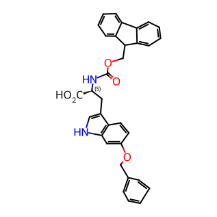 O=C(N[C@@H](Cc1c[nH]c2cc(OCc3ccccc3)ccc12)C(=O)O)OCC1c2ccccc2-c2ccccc21